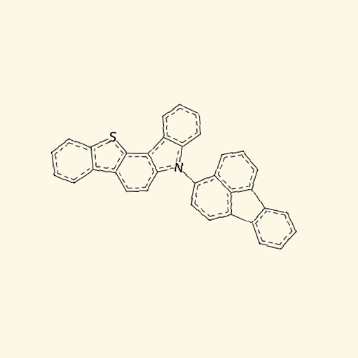 c1ccc2c(c1)-c1cccc3c(-n4c5ccccc5c5c6sc7ccccc7c6ccc54)ccc-2c13